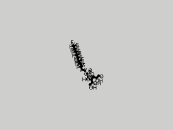 O=C[C@H](O)[C@H](OP(=O)(O)OCCC(F)(F)C(F)(F)C(F)(F)C(F)(F)C(F)(F)C(F)(F)C(F)(F)C(F)(F)F)[C@H](O)[C@H](O)CO